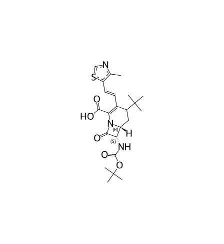 Cc1ncsc1C=CC1=C(C(=O)O)N2C(=O)[C@@H](NC(=O)OC(C)(C)C)[C@H]2CC1C(C)(C)C